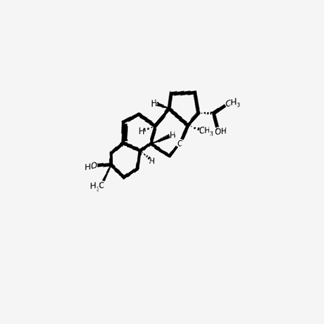 CC(O)[C@H]1CC[C@H]2[C@@H]3CC=C4C[C@@](C)(O)CC[C@@H]4[C@H]3CC[C@]12C